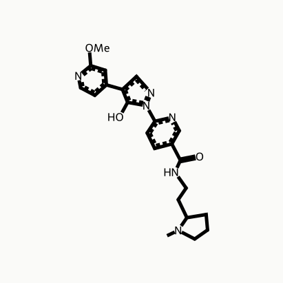 COc1cc(-c2cnn(-c3ccc(C(=O)NCCC4CCCN4C)cn3)c2O)ccn1